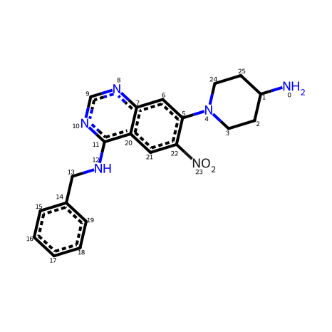 NC1CCN(c2cc3ncnc(NCc4ccccc4)c3cc2[N+](=O)[O-])CC1